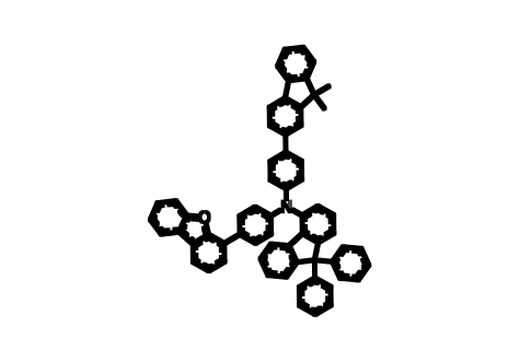 CC1(C)c2ccccc2-c2ccc(-c3ccc(N(c4ccc(-c5cccc6c5oc5ccccc56)cc4)c4cccc5c4-c4ccccc4C5(c4ccccc4)c4ccccc4)cc3)cc21